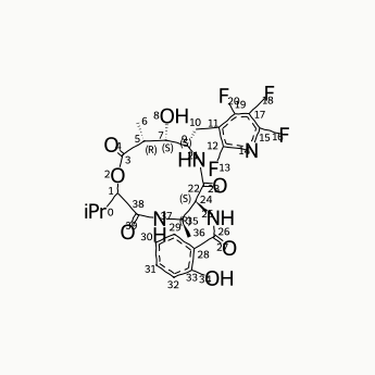 CC(C)C1OC(=O)[C@H](C)[C@H](O)[C@H](Cc2c(F)nc(F)c(F)c2F)NC(=O)[C@@H](NC(=O)c2ccccc2O)[C@@H](C)NC1=O